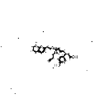 N#CCCn1nc(CC(CC(=O)O)c2ccc(O)nc2)cc1OCCc1ccc2c(n1)NCCC2